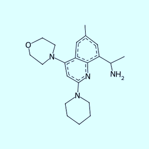 Cc1cc(C(C)N)c2nc(N3CCCCC3)cc(N3CCOCC3)c2c1